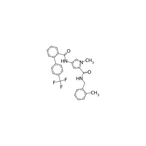 Cc1ccccc1CNC(=O)c1cc(NC(=O)c2ccccc2-c2ccc(C(F)(F)F)cc2)cn1C